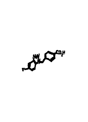 O=C(O)c1ccc(Cn2nnc3cc(F)ccc32)cc1